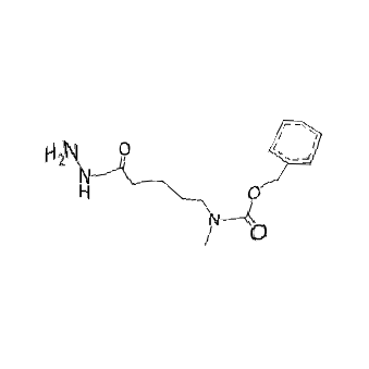 CN(CCCCC(=O)NN)C(=O)OCc1ccccc1